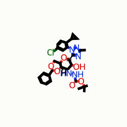 Cc1nc([C@@H]2OC3COC(c4ccccc4)O[C@@H]3C(NNC(=O)OC(C)(C)C)C2O)n(-c2cc(Cl)ccc2C2CC2)n1